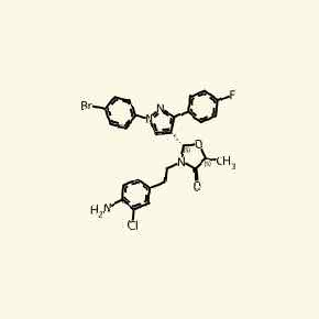 C[C@@H]1O[C@@H](c2cn(-c3ccc(Br)cc3)nc2-c2ccc(F)cc2)N(CCc2ccc(N)c(Cl)c2)C1=O